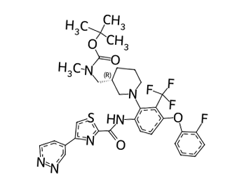 CN(C[C@@H]1CCCN(c2c(NC(=O)c3nc(-c4ccnnc4)cs3)ccc(Oc3ccccc3F)c2C(F)(F)F)C1)C(=O)OC(C)(C)C